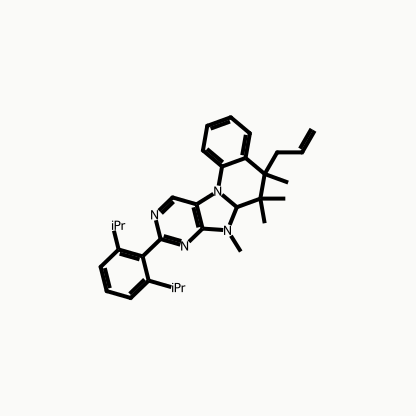 C=CCC1(C)c2ccccc2N2c3cnc(-c4c(C(C)C)cccc4C(C)C)nc3N(C)C2C1(C)C